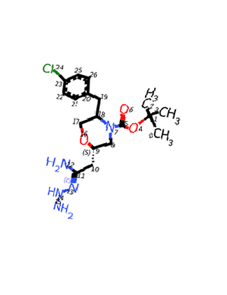 CC(C)(C)OC(=O)N1C[C@H](C/C(N)=N/NN)OCC1Cc1ccc(Cl)cc1